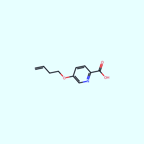 C=CCCOc1ccc(C(=O)O)nc1